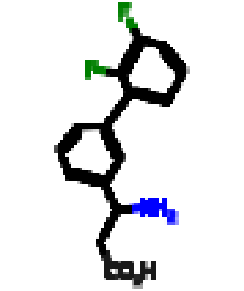 NC(CC(=O)O)c1cccc(-c2cccc(F)c2F)c1